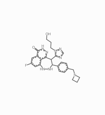 O=c1[nH]nc2c3c(cc(F)cc13)NNC(c1ccc(CN3CCC3)cc1)C2c1ncnn1CCCO